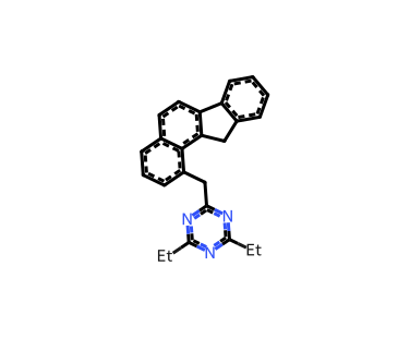 CCc1nc(CC)nc(Cc2cccc3ccc4c(c23)Cc2ccccc2-4)n1